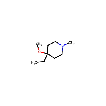 CCC1(OC)CCN(C)CC1